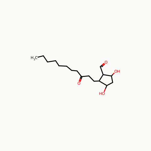 CCCCCCCCC(=O)CCC1C(O)CC(O)C1C=O